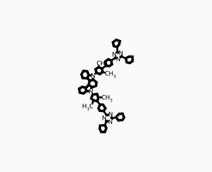 Cc1cc(-n2c3ccccc3c3c4c5ccccc5n(-c5cc(C)c(-c6ccc(-c7nc(-c8ccccc8)nc(-c8ccccc8)n7)cc6)c(C)c5)c4ccc32)cc(C)c1-c1ccc(-c2nc(-c3ccccc3)nc(-c3ccccc3)n2)cc1